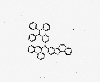 c1ccc(-c2c(-c3ccccc3)c3cc(N(c4ccc5oc6c7ccccc7ccc6c5c4)c4cc5ccccc5c5ccccc45)ccc3c3ccccc23)cc1